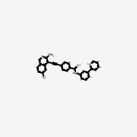 Nc1ncc2ccc(Cl)cc2c1C#Cc1ccc(C(=O)Nc2cccc(-c3ccccn3)c2)cc1